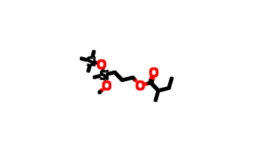 CCC(C)C(=O)OCCC[Si](C)(OC)O[Si](C)(C)C